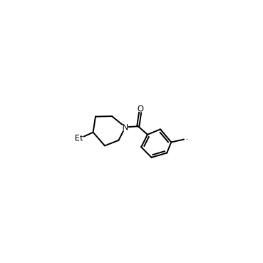 [CH2]CC1CCN(C(=O)c2cccc([CH2])c2)CC1